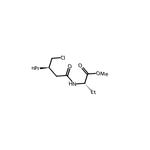 CCC[C@@H](CCl)CC(=O)N[C@@H](CC)C(=O)OC